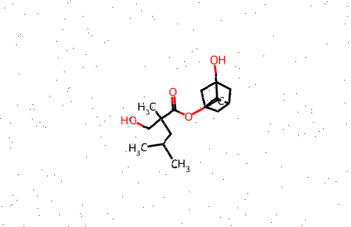 CC(C)CC(C)(CO)C(=O)OC1=C2C3CC(C1)CC2(O)C3